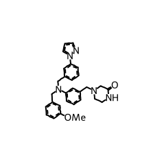 COc1cccc(CN(Cc2cccc(-n3cccn3)c2)c2cccc(CN3CCNC(=O)C3)c2)c1